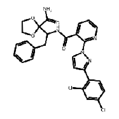 NC(=O)C1(C(Cc2ccccc2)NC(=O)c2cccnc2-n2ccc(-c3ccc(Cl)cc3Cl)n2)OCCO1